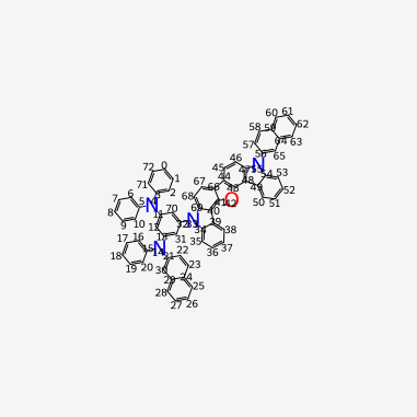 c1ccc(N(c2ccccc2)c2cc(N(c3ccccc3)c3ccc4ccccc4c3)cc(-n3c4ccccc4c4c5oc6c(ccc7c6c6ccccc6n7-c6ccc7ccccc7c6)c5ccc43)c2)cc1